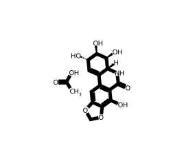 CC(=O)O.O=C1N[C@@H]2C(=C[C@H](O)[C@@H](O)[C@H]2O)c2cc3c(c(O)c21)OCO3